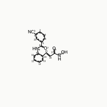 N#Cc1cccc(C(=O)Nc2ccccc2/C=C/C(=O)NO)c1